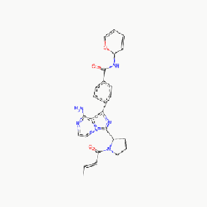 CC=CC(=O)N1CCCC1c1nc(-c2ccc(C(=O)NC3C=CC=CO3)cc2)c2c(N)nccn12